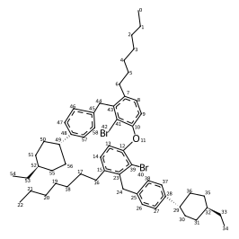 CCCCCCCc1ccc(Oc2ccc(CCCCCCC)c(Cc3ccc([C@H]4CC[C@H](CC)CC4)cc3)c2Br)c(Br)c1Cc1ccc([C@H]2CC[C@H](CC)CC2)cc1